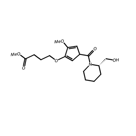 COC(=O)CCCOC1=CC(C(=O)N2CCCC[C@H]2CO)C=C1OC